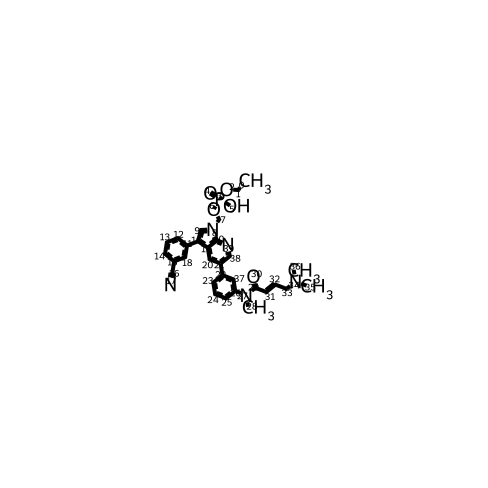 CCOP(=O)(O)OCn1cc(-c2cccc(C#N)c2)c2cc(-c3cccc(N(C)C(=O)/C=C/CN(C)C)c3)cnc21